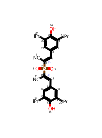 CC(C)c1cc(/C=C(\C#N)S(=O)(=O)/C(C#N)=C/c2cc(C(C)C)c(O)c(C(C)C)c2)cc(C(C)C)c1O